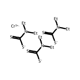 CCN(CC)C(=S)[S-].CCN(CC)C(=S)[S-].CCN(CC)C(=S)[S-].[Cr+3]